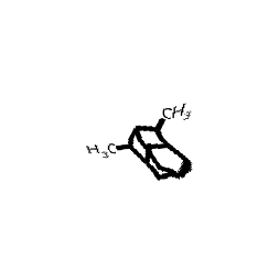 CC1C2CC3CC(C2)C(C)C1C3